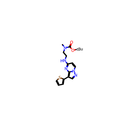 CN(CCNc1ccn2ncc(-c3cccs3)c2n1)C(=O)OC(C)(C)C